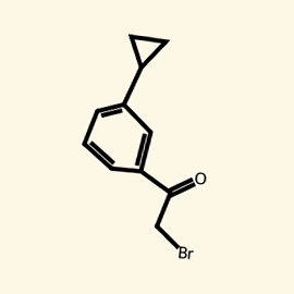 O=C(CBr)c1cccc(C2CC2)c1